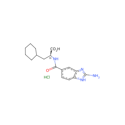 Cl.Nc1nc2cc(C(=O)N[C@@H](CC3CCCCC3)C(=O)O)ccc2[nH]1